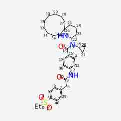 CCS(=O)(=O)c1ccc(CC(=O)Nc2ccc(C(=O)N(C3CC3)C3CCCC4(CCCCCCCCC4)N3)cc2)cc1